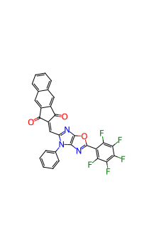 O=C1C(=Cc2nc3oc(-c4c(F)c(F)c(F)c(F)c4F)nc3n2-c2ccccc2)C(=O)c2cc3ccccc3cc21